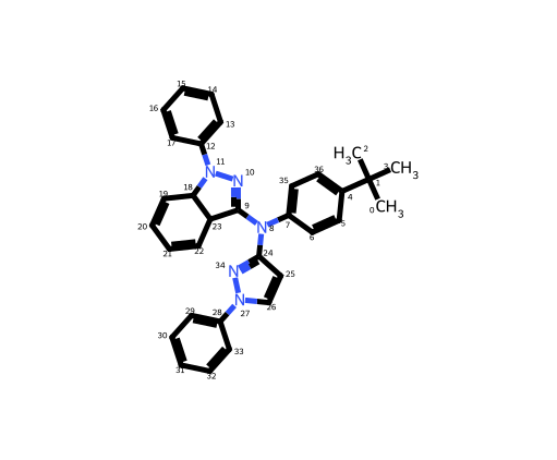 CC(C)(C)c1ccc(N(C2=NN(c3ccccc3)C3C=CC=CC23)c2ccn(-c3ccccc3)n2)cc1